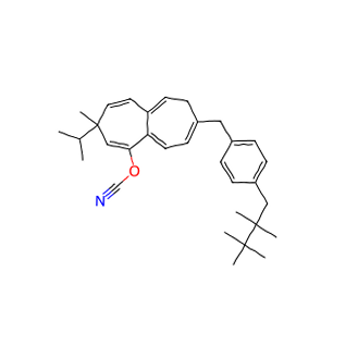 CC(C)C1(C)C=CC2=CCC(Cc3ccc(CC(C)(C)C(C)(C)C)cc3)=CC=C2C(OC#N)=C1